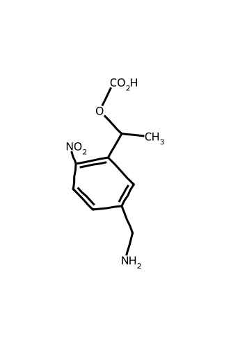 CC(OC(=O)O)c1cc(CN)ccc1[N+](=O)[O-]